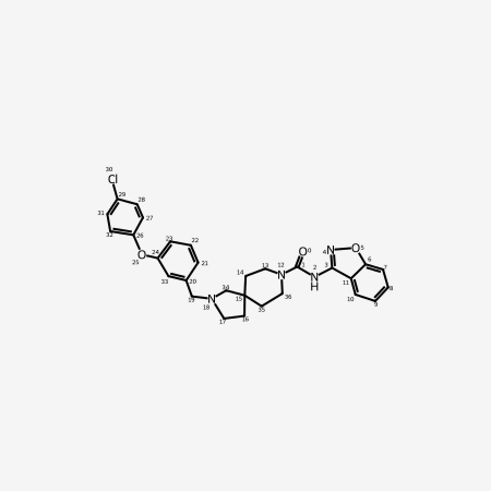 O=C(Nc1noc2ccccc12)N1CCC2(CCN(Cc3cccc(Oc4ccc(Cl)cc4)c3)C2)CC1